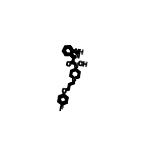 O=C(c1n[nH]c2ccccc12)N(O)C1CCN(CCCOc2ccc(F)cc2)CC1